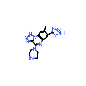 Cc1cc2c(cc1-c1nn[nH]n1)nc(N1CCNCC1)c1nnnn12